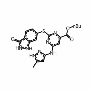 CCCCOC(=O)c1cc(Nc2cc(C)[nH]n2)nc(Sc2ccc3c(=O)[nH][nH]c3c2)n1